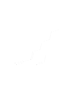 [CH2]CCOc1cccc(C#N)c1